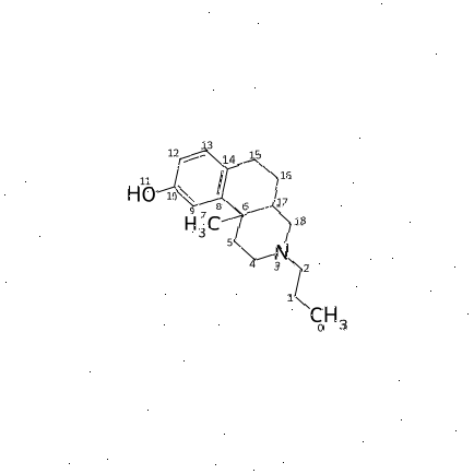 CCCN1CCC2(C)c3cc(O)ccc3CCC2C1